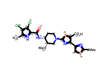 CNc1nc(-c2nc(N3CC[C@@H](NC(=O)c4[nH]c(C)c(Cl)c4Cl)[C@@H](OC)C3)sc2C(=O)O)cs1